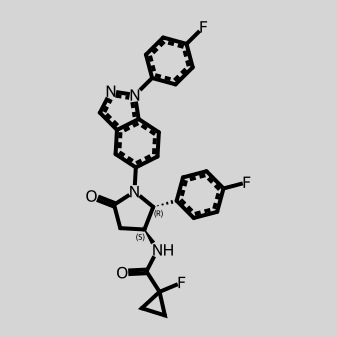 O=C1C[C@H](NC(=O)C2(F)CC2)[C@@H](c2ccc(F)cc2)N1c1ccc2c(cnn2-c2ccc(F)cc2)c1